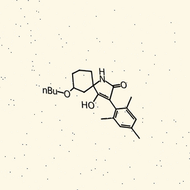 CCCCOC1CCCC2(C1)NC(=O)C(c1c(C)cc(C)cc1C)=C2O